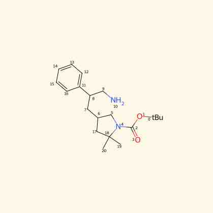 CC(C)(C)OC(=O)N1CC(CC(CN)c2ccccc2)CC1(C)C